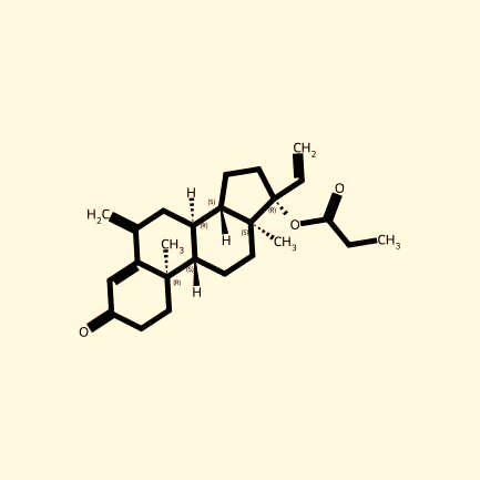 C=C[C@]1(OC(=O)CC)CC[C@H]2[C@@H]3CC(=C)C4=CC(=O)CC[C@]4(C)[C@H]3CC[C@@]21C